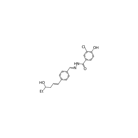 CCC(O)C/C=C/c1ccc(/C=N/NC(=O)c2ccc(O)c(Cl)c2)cc1